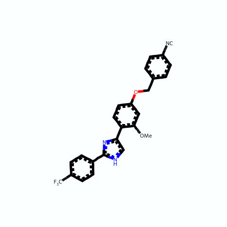 [C-]#[N+]c1ccc(COc2ccc(-c3c[nH]c(-c4ccc(C(F)(F)F)cc4)n3)c(OC)c2)cc1